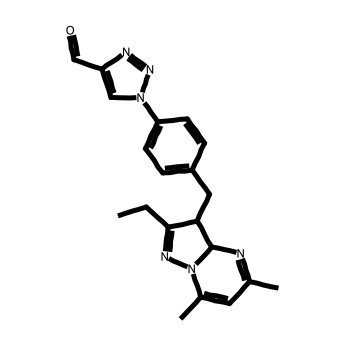 CCC1=NN2C(C)=CC(C)=NC2C1Cc1ccc(-n2cc(C=O)nn2)cc1